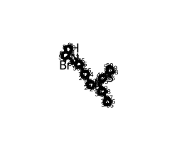 Brc1c(-c2cccc3ccccc23)[nH]c2ccc(-c3ccc(-c4cccc(N(c5ccc(-c6ccccc6)cc5)c5ccc6c(c5)sc5ccccc56)c4)cc3)cc12